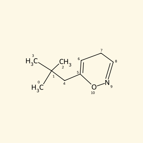 CC(C)(C)CC1=CCC=NO1